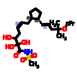 CCCOC(C)(C)C/C=C/[C@H]1CCC[C@@H]1C/C=C\CC(O)C(O)(O)C(=O)NS(C)(=O)=O